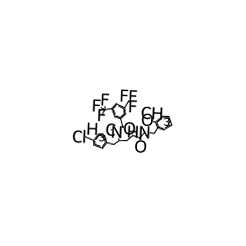 COc1ccccc1CNC(=O)CCC(Cc1ccc(Cl)cc1)N(C)C(=O)c1cc(C(F)(F)F)cc(C(F)(F)F)c1